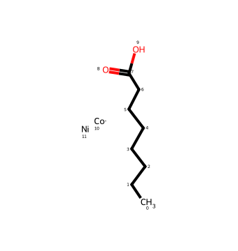 CCCCCCCC(=O)O.[Co].[Ni]